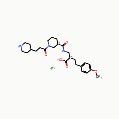 COc1ccc(CC[C@H](CNC(=O)[C@@H]2CCCN(C(=O)CCC3CCNCC3)C2)C(=O)O)cc1.Cl